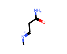 C/N=C/CC(N)=O